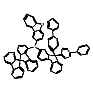 c1ccc(-c2ccc(C3(c4ccc(-c5ccccc5)cc4)c4ccccc4-c4ccc(N(c5ccc6oc7ccccc7c6c5)c5cccc6c5-c5ccccc5C65c6ccccc6-c6ccccc65)cc43)cc2)cc1